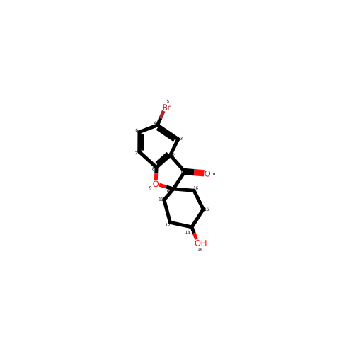 O=C1c2cc(Br)ccc2OC12CCC(O)CC2